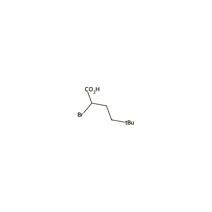 CC(C)(C)CCC(Br)C(=O)O